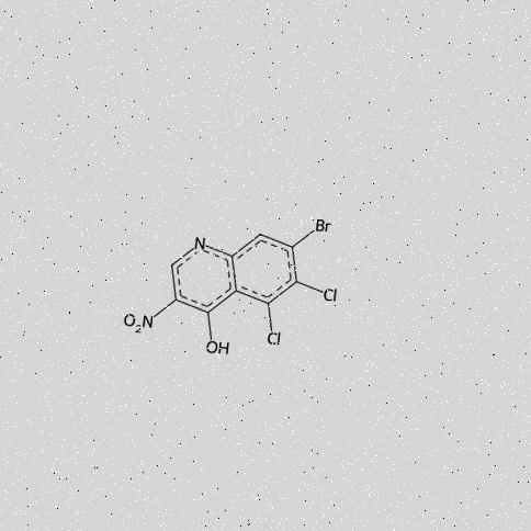 O=[N+]([O-])c1cnc2cc(Br)c(Cl)c(Cl)c2c1O